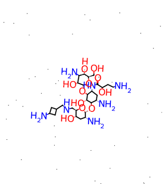 NCC[C@H](O)C(=O)N[C@@H]1C[C@H](N)C(O[C@H]2O[C@H](CNCC3CC(N)C3)[C@@H](O)C[C@H]2N)[C@H](O)[C@H]1O[C@H]1O[C@H](CO)[C@@H](O)[C@H](N)[C@H]1O